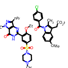 CCCc1nn(C)c2c(=O)[nH]c(-c3cc(S(=O)(=O)N4CCN(C)CC4)ccc3OCC)nc12.COc1ccc2c(c1)c(CC(=O)O)c(C)n2C(=O)c1ccc(Cl)cc1